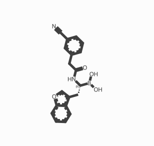 N#Cc1cccc(CC(=O)N[C@@H](Cc2coc3ccccc23)B(O)O)c1